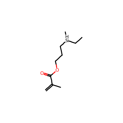 C=C(C)C(=O)OCCC[SiH](C)CC